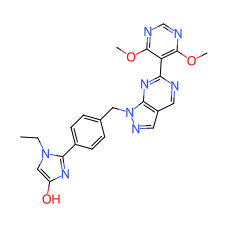 CCn1cc(O)nc1-c1ccc(Cn2ncc3cnc(-c4c(OC)ncnc4OC)nc32)cc1